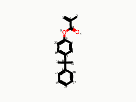 C=C(C)C(=O)Oc1ccc(C(C)(C)c2ccccc2)cc1